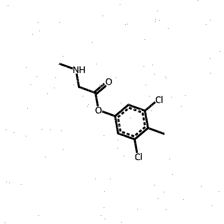 CNCC(=O)Oc1cc(Cl)c(C)c(Cl)c1